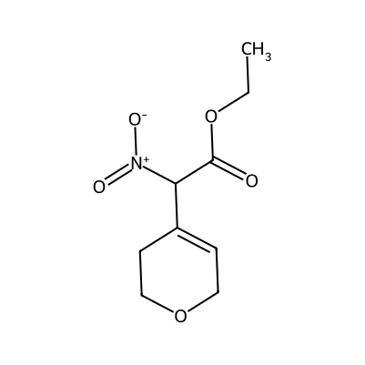 CCOC(=O)C(C1=CCOCC1)[N+](=O)[O-]